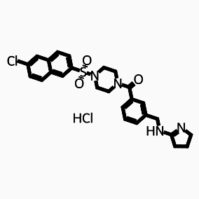 Cl.O=C(c1cccc(CNC2=NCCC2)c1)N1CCN(S(=O)(=O)c2ccc3cc(Cl)ccc3c2)CC1